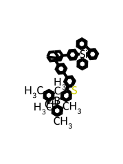 Cc1cc(C)c(B(c2ccc3sc4ccc(-c5ccc(C67CC8CC(C6)CC(c6ccc([Si]9(c%10ccccc%10)c%10ccccc%10-c%10ccccc%109)cc6)(C8)C7)cc5)cc4c3c2)c2c(C)cc(C)cc2C)c(C)c1